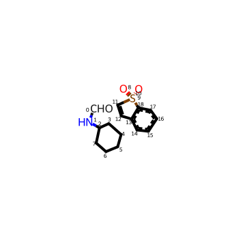 O=CNC1CCCCC1.O=S1(=O)C=Cc2ccccc21